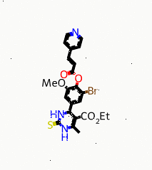 CCOC(=O)C1=C(C)NC(=S)NC1c1cc(Br)c(OC(=O)/C=C/c2ccncc2)c(OC)c1